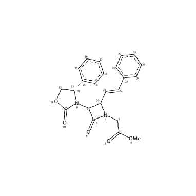 COC(=O)CN1C(=O)C(N2C(=O)OC[C@@H]2c2ccccc2)C1C=Cc1ccccc1